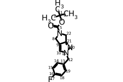 CC(C)(C)OC(=O)N1Cc2cn(Cc3ccc(F)cc3)nc2C1